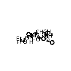 CCN(CC)C(=O)COc1cccc2c(C[C@@H](C)NC[C@H](O)c3ccc(OCc4ccccc4)c(NS(C)(=O)=O)c3)c[nH]c12